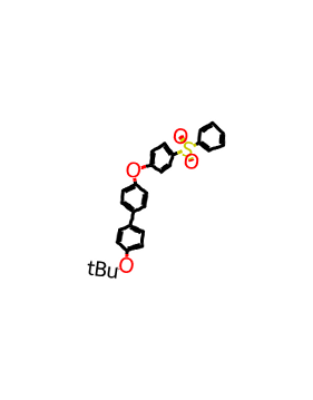 CC(C)(C)Oc1ccc(-c2ccc(Oc3ccc(S(=O)(=O)c4ccccc4)cc3)cc2)cc1